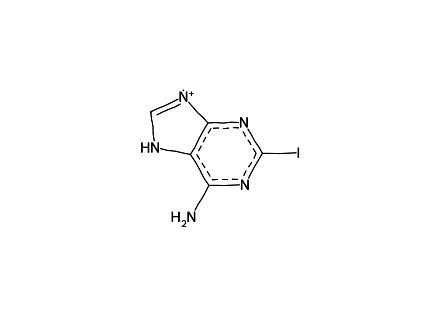 Nc1nc(I)nc2c1NC=[N+]2